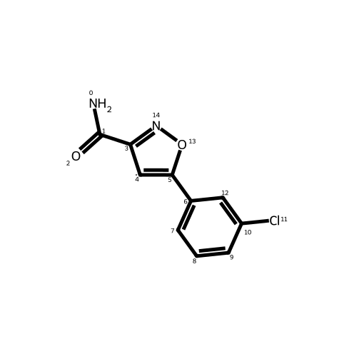 NC(=O)c1[c]c(-c2cccc(Cl)c2)on1